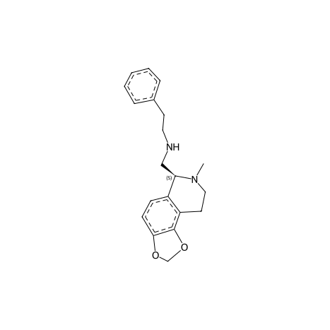 CN1CCc2c(ccc3c2OCO3)[C@H]1CNCCc1ccccc1